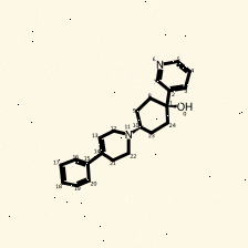 O[C@]1(c2cccnc2)CC[C@H](N2CC=C(c3ccccc3)CC2)CC1